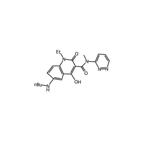 CCCCNc1ccc2c(c1)c(O)c(C(=O)N(C)c1cccnn1)c(=O)n2CC